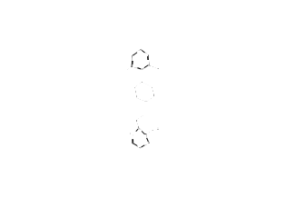 Fc1cccc(F)c1[C@H]1CC[C@@H](OCc2ncccc2Br)CC1